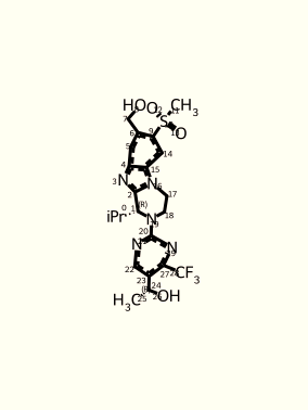 CC(C)[C@@H]1c2nc3cc(CO)c(S(C)(=O)=O)cc3n2CCN1c1ncc([C@@H](C)O)c(C(F)(F)F)n1